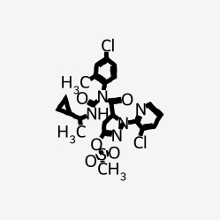 Cc1cc(Cl)ccc1N(C(=O)NC(C)C1CC1)C(=O)C1CC(OS(C)(=O)=O)=NN1c1ncccc1Cl